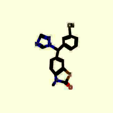 Cn1c(=O)sc2cc(C(c3cccc(C#N)c3)n3cncn3)ccc21